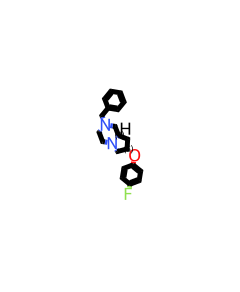 Fc1ccc(O[C@H]2C[C@H]3CN(Cc4ccccc4)CCN3C2)cc1